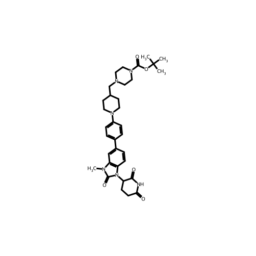 Cn1c(=O)n(C2CCC(=O)NC2=O)c2ccc(-c3ccc(N4CCC(CN5CCN(C(=O)OC(C)(C)C)CC5)CC4)cc3)cc21